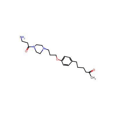 CC(=O)CCCCc1ccc(OCCCN2CCN(C(=O)CCN)CC2)cc1